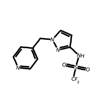 O=S(=O)(Nc1ccn(Cc2ccncc2)n1)C(F)(F)F